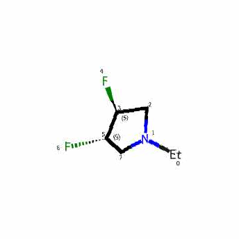 CCN1C[C@H](F)[C@@H](F)C1